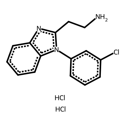 Cl.Cl.NCCc1nc2ccccc2n1-c1cccc(Cl)c1